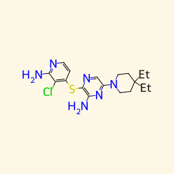 CCC1(CC)CCN(c2cnc(Sc3ccnc(N)c3Cl)c(N)n2)CC1